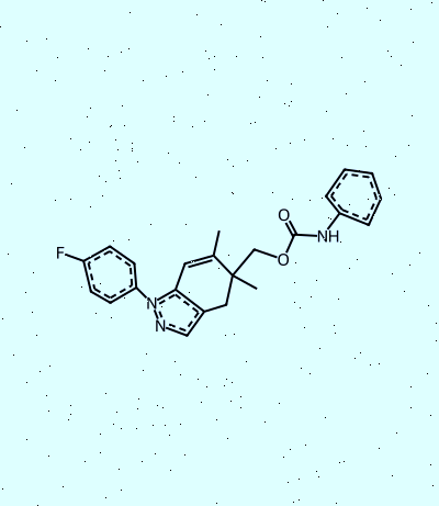 CC1=Cc2c(cnn2-c2ccc(F)cc2)CC1(C)COC(=O)Nc1ccccc1